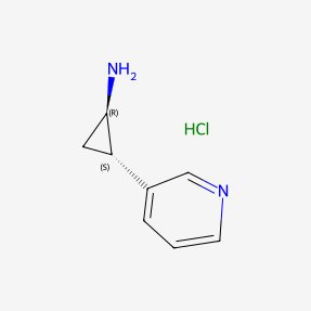 Cl.N[C@@H]1C[C@H]1c1cccnc1